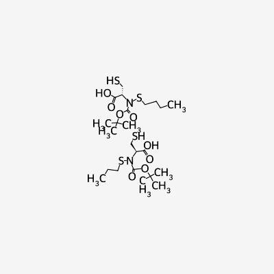 CCCCSN(C(=O)OC(C)(C)C)[C@@H](CS)C(=O)O.CCCSN(C(=O)OC(C)(C)C)[C@@H](CS)C(=O)O